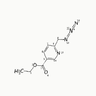 CCOC(=O)c1ccc(CN=[N+]=[N-])nc1